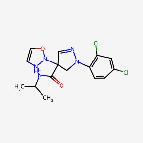 CC(C)NC(=O)C1(N2NC=CO2)C=NN(c2ccc(Cl)cc2Cl)C1